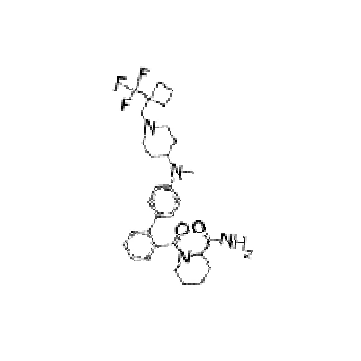 CN(c1ccc(-c2ccccc2C(=O)N2CCCC[C@@H]2C(N)=O)cc1)C1CCN(CC2(C(F)(F)F)CCC2)CC1